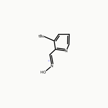 CC(C)(C)c1cccnc1/C=N/O